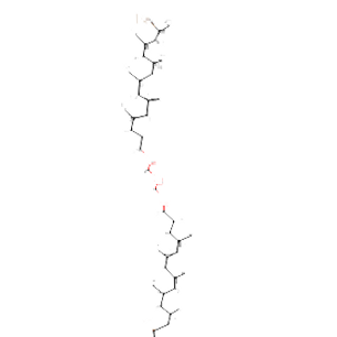 CC(Br)CC(C)CC(C)CC(C)CC(C)CC(C)CCCOCOCOCCCC(C)CC(C)CC(C)CC(C)CC(C)CC(C)Br